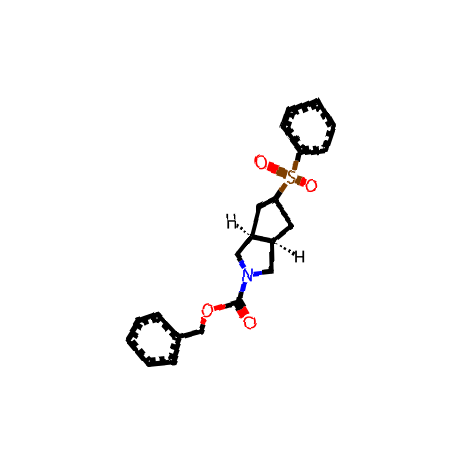 O=C(OCc1ccccc1)N1C[C@H]2CC(S(=O)(=O)c3ccccc3)C[C@H]2C1